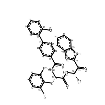 CC[C@H](NC(=O)[C@H](Cc1c(F)cccc1F)NC(=O)c1ccc(-c2ccccc2Cl)nc1)C(=O)c1nc2ccccc2o1